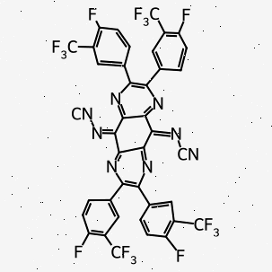 [C-]#[N+]N=C1c2nc(-c3ccc(F)c(C(F)(F)F)c3)c(-c3ccc(F)c(C(F)(F)F)c3)nc2C(=NC#N)c2nc(-c3ccc(F)c(C(F)(F)F)c3)c(-c3ccc(F)c(C(F)(F)F)c3)nc21